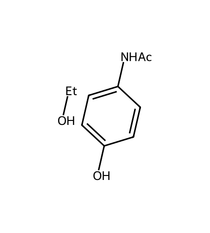 CC(=O)Nc1ccc(O)cc1.CCO